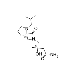 CC(C)CN1CCC[C@]12CN(C[C@@](C)(O)CC(N)=O)C2=O